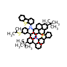 CC(C)Sc1ccc(N(c2cc(N(c3ccc([Si](C)(C)C)cc3-c3ccccc3)c3cccc4c3sc3ccccc34)c3ccc4cc(C(C)(C)C)cc5ccc2c3c54)c2cccc3c2sc2ccccc23)c(-c2ccccc2)c1